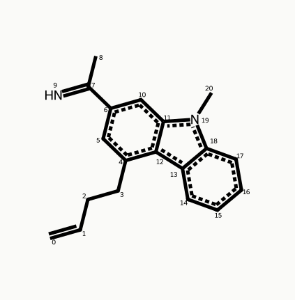 C=CCCc1cc(C(C)=N)cc2c1c1ccccc1n2C